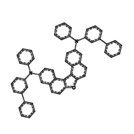 c1ccc(-c2cccc(N(c3ccccc3)c3ccc4c(ccc5oc6ccc7cc(N(c8ccccc8)c8cccc(-c9ccccc9)c8)ccc7c6c54)c3)c2)cc1